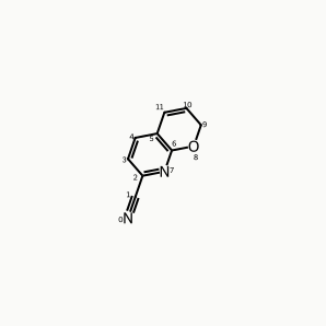 N#Cc1ccc2c(n1)OCC=C2